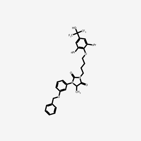 CCCc1cc(C(O)(C(F)(F)F)C(F)(F)F)cc(CCC)c1OCCCCN1C(=O)C(C)N(c2cccc(OCc3ccccc3)c2)C1=O